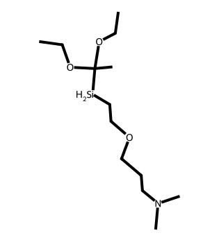 CCOC(C)(OCC)[SiH2]CCOCCCN(C)C